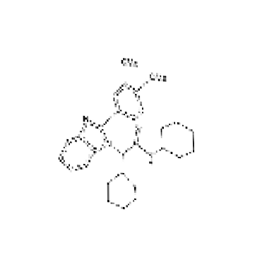 COc1ccc(-c2nc3ccccc3n2C(C(=O)NC2CCCCC2)C2CCCCC2)cc1OC